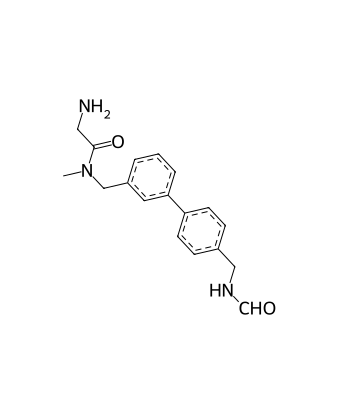 CN(Cc1cccc(-c2ccc(CNC=O)cc2)c1)C(=O)CN